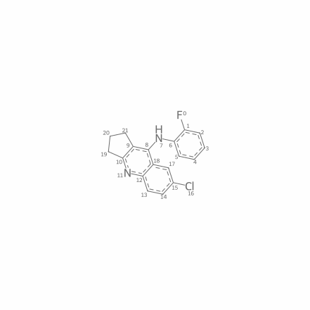 Fc1ccccc1Nc1c2c(nc3ccc(Cl)cc13)CCC2